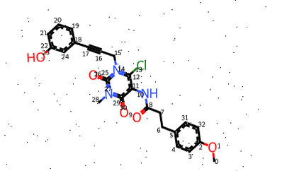 COc1ccc(CCC(=O)Nc2c(Cl)n(CC#Cc3cccc(O)c3)c(=O)n(C)c2=O)cc1